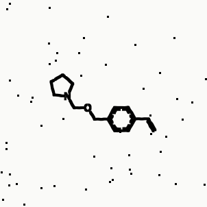 C=Cc1ccc(COCN2CCCC2)cc1